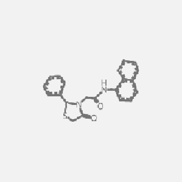 O=C(CN1C(=O)CSC1c1ccccc1)Nc1cccc2ccccc12